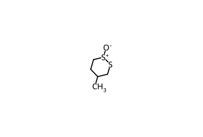 CC1CC[S+]([O-])SC1